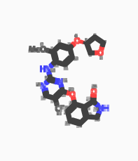 COc1cc(O[C@H]2CCOC2)ccc1Nc1ncc(C(F)(F)F)c(Oc2cccc3c2C(=O)NC3)n1